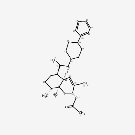 CC(=O)O[C@@H]1[CH][C@@]2(O)[C@H](C)CC[C@@H](C(C)CN3CCC(c4ccccc4)CC3)[C@H]2C=C1C